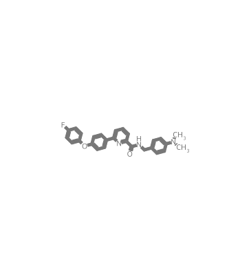 CN(C)c1ccc(CNC(=O)c2cccc(-c3ccc(Oc4ccc(F)cc4)cc3)n2)cc1